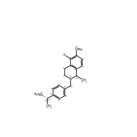 COc1ccc2c(c1F)CCN(Cc1ccc([C@H](C)NC(C)=O)cc1)C2C